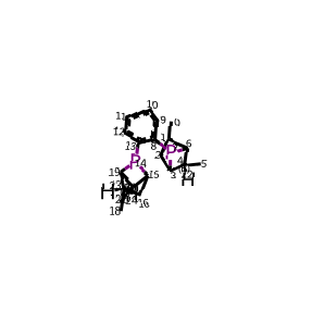 CC1CC2[C@@H](C)C1P2c1ccccc1P1C2C[C@H](C)C1[C@@H]2C